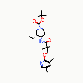 CC[C@@H]1CN(C(=O)OC(C)(C)C)CC[C@H]1NC(=O)C(C)(C)COc1ncc(C)cc1C